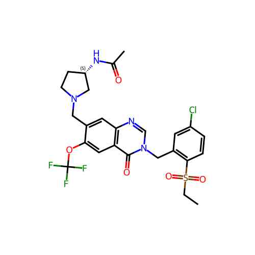 CCS(=O)(=O)c1ccc(Cl)cc1Cn1cnc2cc(CN3CC[C@H](NC(C)=O)C3)c(OC(F)(F)F)cc2c1=O